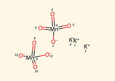 [K+].[K+].[K+].[O]=[Mn](=[O])(=[O])[O-].[O]=[Mn](=[O])([O-])[O-]